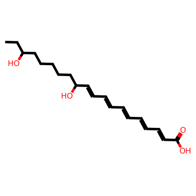 CCC(O)CCCCCC(O)C=CC=CC=CC=CC=CC(=O)O